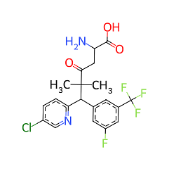 CC(C)(C(=O)CC(N)C(=O)O)C(c1cc(F)cc(C(F)(F)F)c1)c1ccc(Cl)cn1